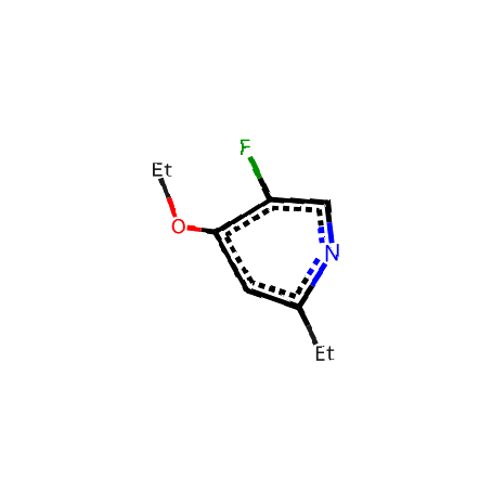 [CH2]Cc1cc(OCC)c(F)cn1